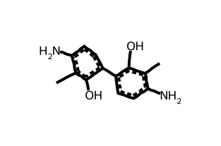 Cc1c(N)ccc(-c2ccc(N)c(C)c2O)c1O